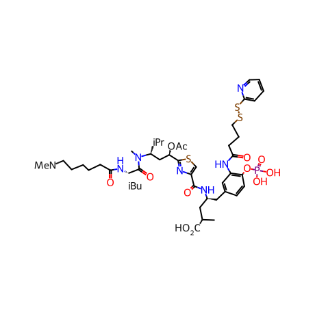 CC[C@H](C)[C@H](NC(=O)CCCCCNC)C(=O)N(C)[C@H](C[C@@H](OC(C)=O)c1nc(C(=O)N[C@@H](Cc2ccc(OP(=O)(O)O)c(NC(=O)CCCSSc3ccccn3)c2)CC(C)C(=O)O)cs1)C(C)C